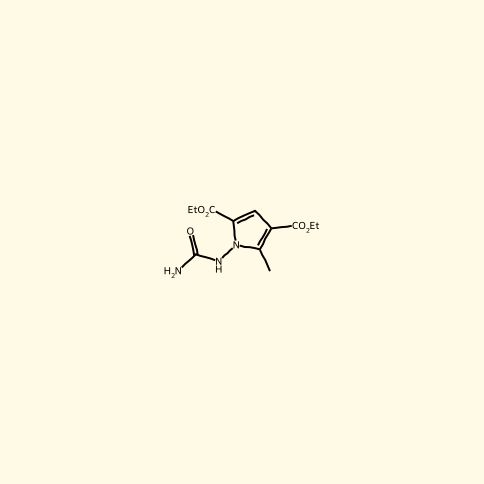 CCOC(=O)c1cc(C(=O)OCC)n(NC(N)=O)c1C